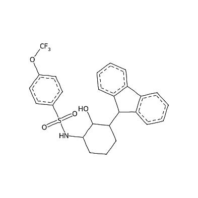 O=S(=O)(NC1CCCC(C2c3ccccc3-c3ccccc32)C1O)c1ccc(OC(F)(F)F)cc1